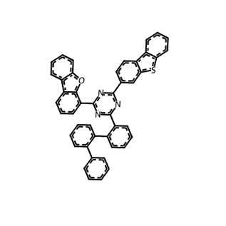 c1ccc(-c2ccccc2-c2ccccc2-c2nc(-c3ccc4c(c3)sc3ccccc34)nc(-c3cccc4c3oc3ccccc34)n2)cc1